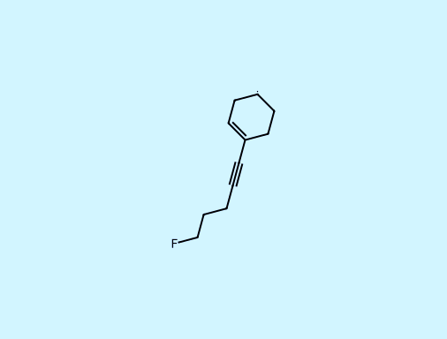 FCCCC#CC1=CC[CH]CC1